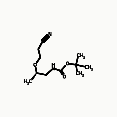 C[C@H](CNC(=O)OC(C)(C)C)OCCC#N